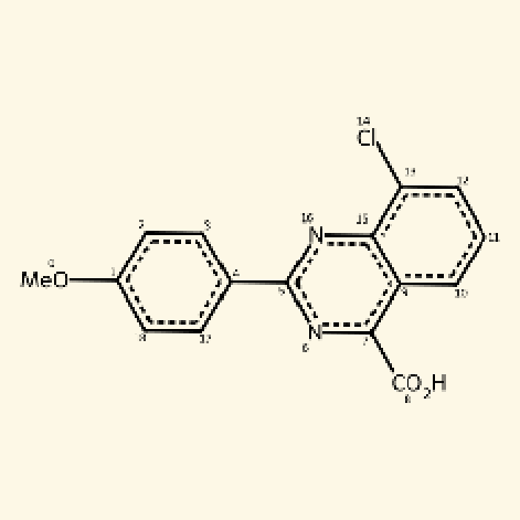 COc1ccc(-c2nc(C(=O)O)c3cccc(Cl)c3n2)cc1